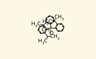 CC(C)c1ccccc1P(=O)(c1ccccc1C(C)C)c1ccccc1C(C)C